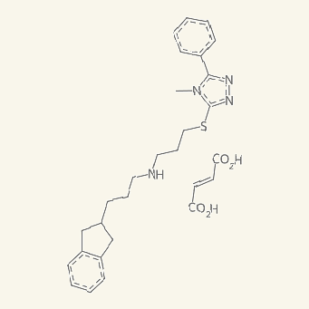 Cn1c(SCCCNCCCC2Cc3ccccc3C2)nnc1-c1ccccc1.O=C(O)/C=C/C(=O)O